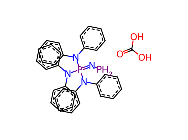 O=C(O)O.PN=P(N(c1ccccc1)c1ccccc1)(N(c1ccccc1)c1ccccc1)N(c1ccccc1)c1ccccc1